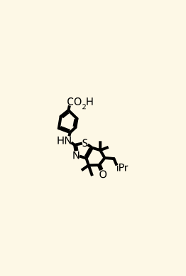 CC(C)CC1C(=O)C(C)(C)c2nc(Nc3ccc(C(=O)O)cc3)sc2C1(C)C